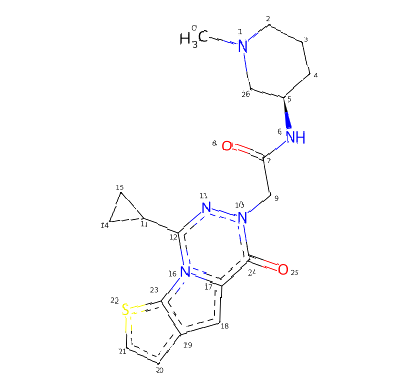 CN1CCC[C@@H](NC(=O)Cn2nc(C3CC3)n3c(cc4ccsc43)c2=O)C1